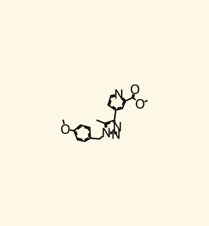 COC(=O)c1cc(-c2nnn(Cc3ccc(OC)cc3)c2C)ccn1